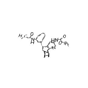 C=CC(=O)Nc1cccc(-c2c[nH]c3ncc(NC(=O)OC(C)C)cc23)c1